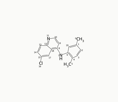 Cc1ccc(C)c(Nc2ccnc3ccc(Cl)cc23)c1